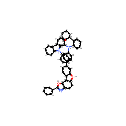 c1ccc(-c2nc3ccc4oc5cc(-c6ccc(N(c7ccccc7-c7ccccc7)c7cccc8c9ccccc9n(-c9ccccc9)c78)cc6)ccc5c4c3o2)cc1